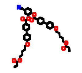 C=CC(=O)OCCCCCOc1ccc(-c2ccc(C(=O)Oc3ccc(C#N)cc3OC(=O)c3ccc(-c4ccc(OCCCCCOC(=O)C=C)cc4)cc3)cc2)cc1